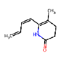 C=C/C=C\C1=C(C)CCC(=O)N1